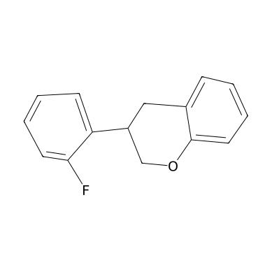 Fc1ccccc1C1COc2ccccc2C1